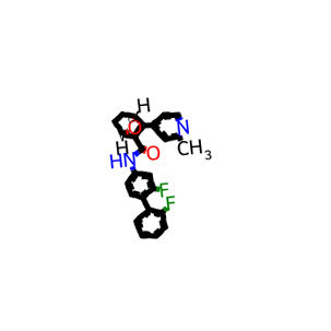 Cc1cc(C2=C(C(=O)Nc3ccc(-c4ccccc4F)c(F)c3)[C@H]3CC[C@@H]2O3)ccn1